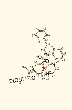 CCOC(=O)c1oc2ccc(S(=O)(=O)N(CCc3ccccc3)c3ccccc3N3CC[N+](C)(C)CC3)cc2c1C